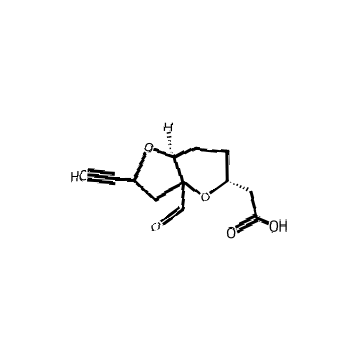 C#CC1CC2(C=O)O[C@@H](CC(=O)O)CC[C@@H]2O1